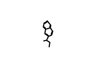 CCC(C)c1ccc2ccccc2c1